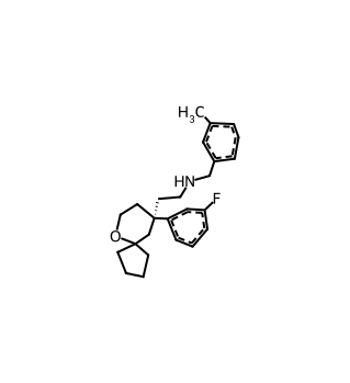 Cc1cccc(CNCC[C@@]2(c3cccc(F)c3)CCOC3(CCCC3)C2)c1